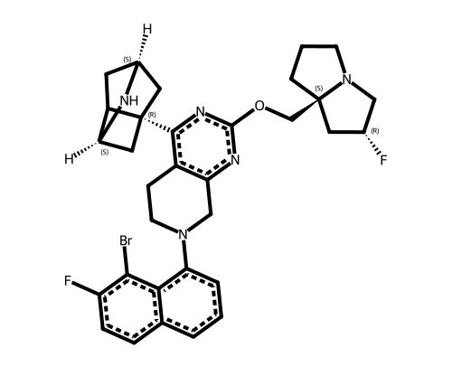 Fc1ccc2cccc(N3CCc4c(nc(OC[C@@]56CCCN5C[C@H](F)C6)nc4[C@@]45C[C@@H]6CC4[C@H](C5)N6)C3)c2c1Br